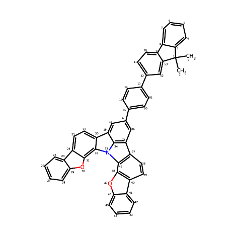 CC1(C)c2ccccc2-c2ccc(-c3ccc(-c4cc5c6ccc7c8ccccc8oc7c6n6c5c(c4)c4ccc5c7ccccc7oc5c46)cc3)cc21